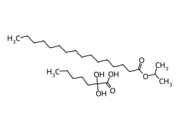 CCCCCC(O)(O)C(=O)O.CCCCCCCCCCCCCCCC(=O)OC(C)C